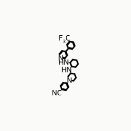 N#Cc1ccc(N2CCC[C@H](N[C@@H]3CCCC[C@H]3Nc3cc(-c4cccc(C(F)(F)F)c4)ccn3)C2)cc1